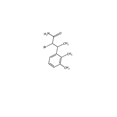 Cc1cccc(C(C)C(Br)C(N)=O)c1C